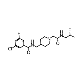 CC(F)CNC(=O)CN1CCC(CNC(=O)c2cc(F)cc(Cl)c2)CC1